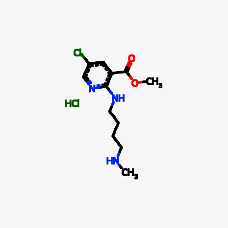 CNCCCCNc1ncc(Cl)cc1C(=O)OC.Cl